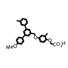 COc1ccc(-c2cc(COc3ccc(OCC(=O)O)c(C)c3)cc(-c3cccc(C)c3)c2)cc1